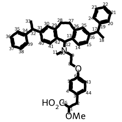 COC(Cc1ccc(OCCN(C)C2c3ccc(C(C)c4ccccc4)cc3CCc3cc(C(C)c4ccccc4)ccc32)cc1)C(=O)O